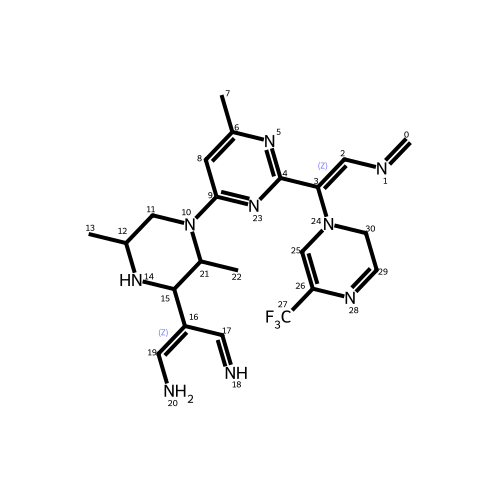 C=N/C=C(/c1nc(C)cc(N2CC(C)NC(/C(C=N)=C/N)C2C)n1)N1C=C(C(F)(F)F)N=CC1